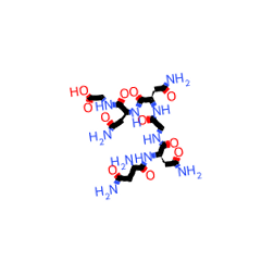 NC(=O)C[C@H](NC(=O)CNC(=O)[C@H](CC(N)=O)NC(=O)[C@@H](N)CC(N)=O)C(=O)N[C@@H](CC(N)=O)C(=O)NCC(=O)O